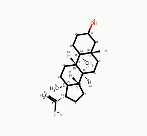 C=C(C)[C@H]1CC[C@H]2[C@@H]3CC[C@H]4CC(O)CC[C@]4(C)[C@H]3CC[C@]12C